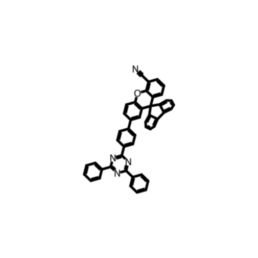 N#Cc1cccc2c1Oc1ccc(-c3ccc(-c4nc(-c5ccccc5)nc(-c5ccccc5)n4)cc3)cc1C21c2ccccc2-c2ccccc21